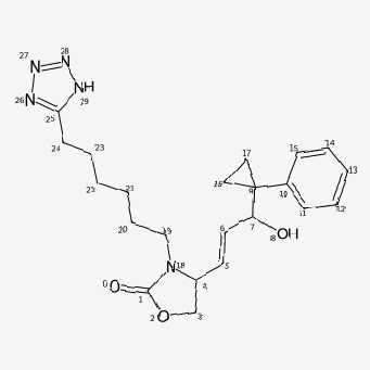 O=C1OCC(/C=C/C(O)C2(c3ccccc3)CC2)N1CCCCCCc1nnn[nH]1